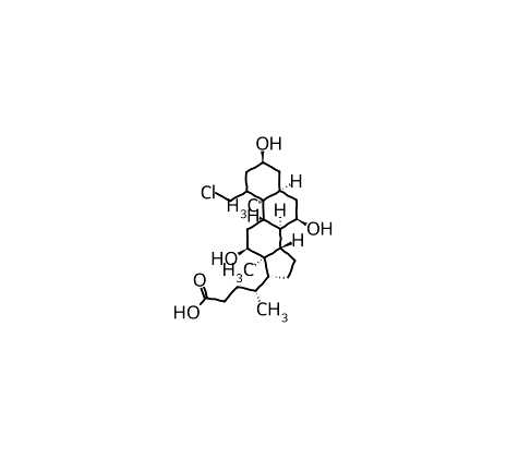 C[C@H](CCC(=O)O)[C@H]1CC[C@H]2[C@@H]3[C@H](O)C[C@@H]4C[C@H](O)CC(CCl)[C@]4(C)[C@H]3C[C@H](O)[C@]12C